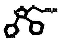 CCOC(=O)CSc1nnc(-c2cccnc2)n1-c1ccccc1